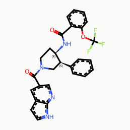 O=C(N[C@@H]1CCN(C(=O)c2cnc3[nH]ccc3c2)C[C@@H]1c1ccccc1)c1ccccc1OC(F)(F)F